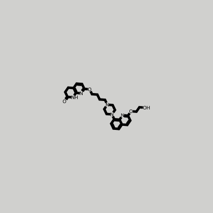 O=C1CCc2ccc(OCCCCN3CCN(c4cccc5ccc(OCCO)nc45)CC3)nc2N1